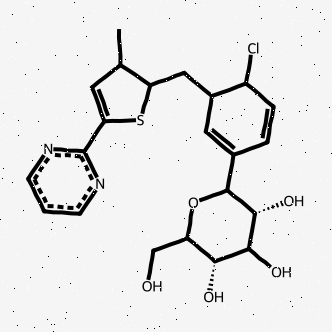 CC1C=C(c2ncccn2)SC1CC1C=C(C2OC(CO)[C@@H](O)C(O)[C@H]2O)C=CC1Cl